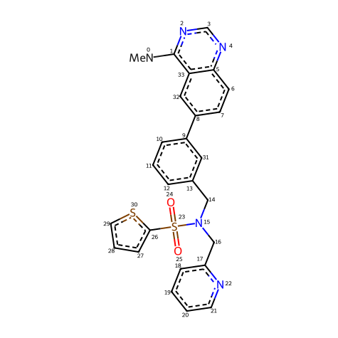 CNc1ncnc2ccc(-c3cccc(CN(Cc4ccccn4)S(=O)(=O)c4cccs4)c3)cc12